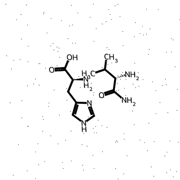 CC(C)[C@H](N)C(N)=O.N[C@@H](Cc1c[nH]cn1)C(=O)O